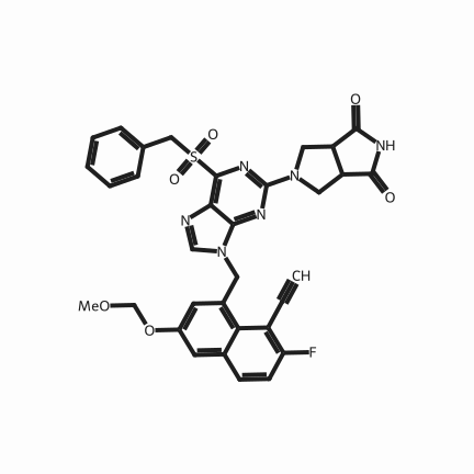 C#Cc1c(F)ccc2cc(OCOC)cc(Cn3cnc4c(S(=O)(=O)Cc5ccccc5)nc(N5CC6C(=O)NC(=O)C6C5)nc43)c12